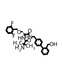 CC(C)(N)C(=O)N[C@H](COCc1c(F)cccc1F)C(=O)NCc1ccc(-c2ccccc2CO)cc1